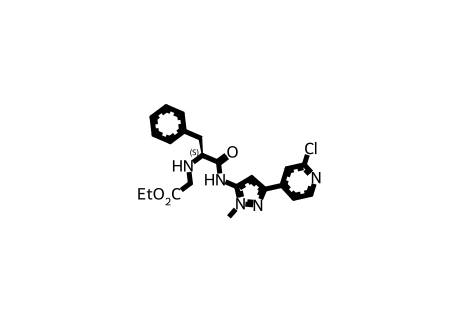 CCOC(=O)CN[C@@H](Cc1ccccc1)C(=O)Nc1cc(-c2ccnc(Cl)c2)nn1C